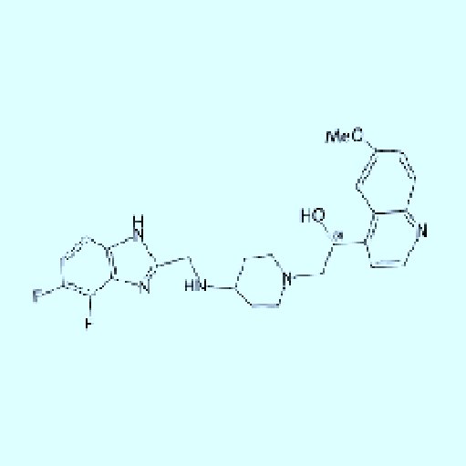 COc1ccc2nccc([C@@H](O)CN3CCC(NCc4nc5c(F)c(F)ccc5[nH]4)CC3)c2c1